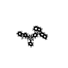 c1ccc(-c2nc(-c3ccc(-n4c5cc6ccccc6cc5c5ccc6ccccc6c54)cc3)nc(-c3ccc4c(c3)sc3ccccc34)n2)cc1